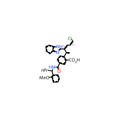 C=C(/C(=C\C=C/Cl)c1nc2ccccc2[nH]1)c1ccc(C(=O)NC(CCC)c2ccccc2OC)cc1C(=O)O